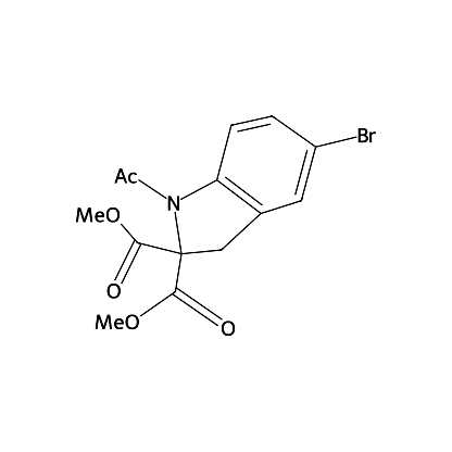 COC(=O)C1(C(=O)OC)Cc2cc(Br)ccc2N1C(C)=O